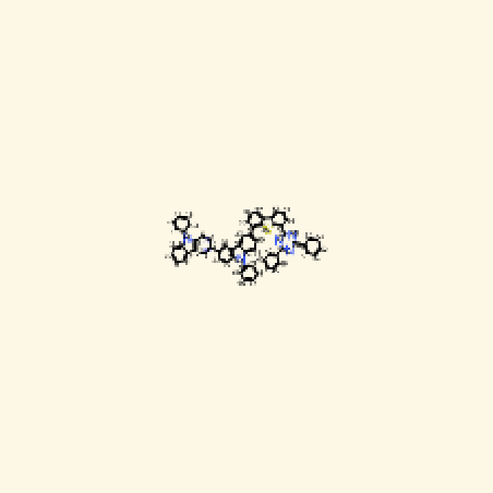 C/C=C(\C=C/c1cc2ccccc2n1C1C=CC=CC1)c1ccc2c(c1)c1cc(-c3cccc4c3sc3c(-c5nc(-c6ccccc6)nc(-c6ccccc6)n5)cccc34)ccc1n2-c1ccccc1